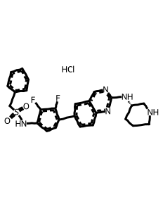 Cl.O=S(=O)(Cc1ccccc1)Nc1ccc(-c2ccc3nc(N[C@H]4CCCNC4)ncc3c2)c(F)c1F